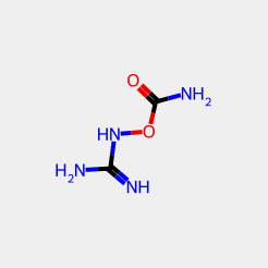 N=C(N)NOC(N)=O